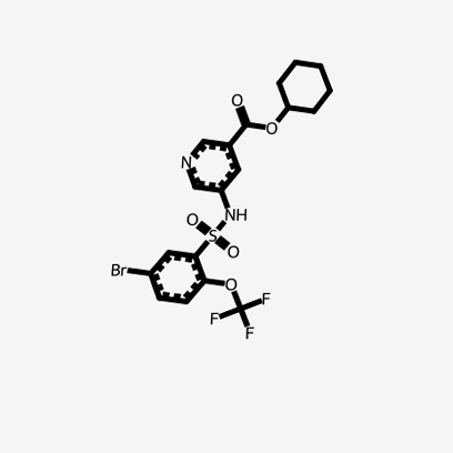 O=C(OC1CCCCC1)c1cncc(NS(=O)(=O)c2cc(Br)ccc2OC(F)(F)F)c1